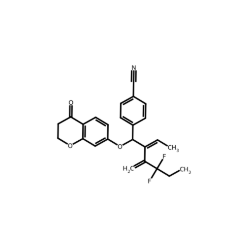 C=C(/C(=C\C)C(Oc1ccc2c(c1)OCCC2=O)c1ccc(C#N)cc1)C(F)(F)CC